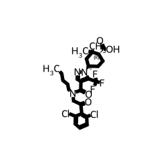 CCCCCN(CC(=O)c1c(Cl)cccc1Cl)C(=O)c1cnn([C@@H]2CC[C@@H](C(=O)O)C(C)(C)C2)c1C(F)(F)F